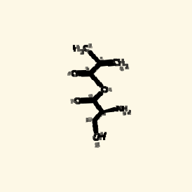 C=C(C)C(=O)OC(=O)[C@@H](N)CO